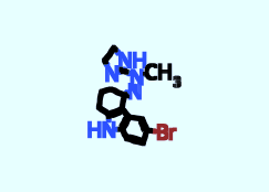 CN(/N=C1\CCCc2[nH]c3ccc(Br)cc3c21)C1=NCCN1